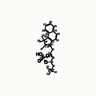 CC1=[N+](CCCC(C[N+](C)(C)C)OP(=O)(O)O)c2ccc3ccccc3c2C1(C)C